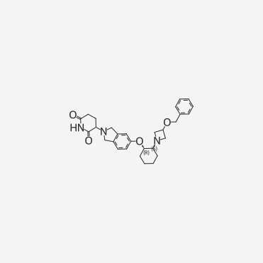 O=C1CCC(N2Cc3ccc(O[C@@H]4CCCC[C@@H]4N4CC(OCc5ccccc5)C4)cc3C2)C(=O)N1